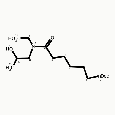 CCCCCCCCCCCCCCCC(=O)N(CC(=O)O)CC(C)O